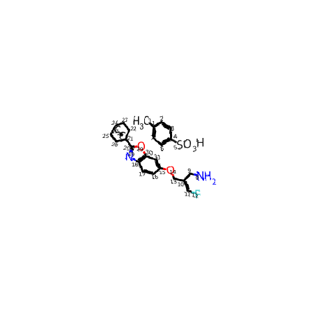 Cc1ccc(S(=O)(=O)O)cc1.NC/C(=C\F)COc1ccc2nc(C34CCC(CC3)CC4)oc2c1